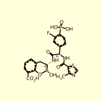 Cc1ncsc1C(=O)N[C@@H](C(=O)N[C@H]1Cc2cccc(C(=O)O)c2OB1O)c1ccc(P(=O)(O)O)c(F)c1